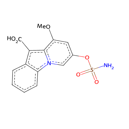 COc1cc(OS(N)(=O)=O)cn2c1c(C(=O)O)c1ccccc12